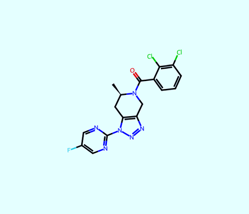 C[C@@H]1Cc2c(nnn2-c2ncc(F)cn2)CN1C(=O)c1cccc(Cl)c1Cl